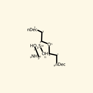 CC.CCCCCCCCCCCCOCCCCCCCCCCCC.N.O=S(=O)(O)O